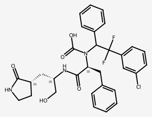 O=C1NCC[C@H]1C[C@@H](CO)NC(=O)[C@H](Cc1ccccc1)N(C(=O)O)C(c1ccccc1)C(F)(F)c1cccc(Cl)c1